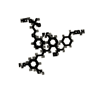 CCN(C[C@H]1CC[C@H](CC(=O)O)CC1)c1ccc(C(F)(F)F)cc1CN(CCc1cc(C(F)(F)F)cc(C(F)(F)F)c1)c1ncc(OCCS(C)(=O)=O)cn1.Cl